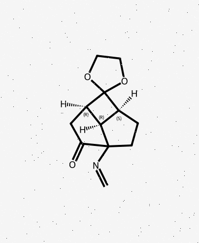 C=NC12CC[C@H]3[C@@H]1[C@@H](CC2=O)C31OCCO1